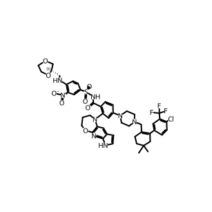 CC1(C)CCC(CN2CCN(c3ccc(C(=O)NS(=O)(=O)c4ccc(NC[C@H]5COCCO5)c([N+](=O)[O-])c4)c(N4CCCOc5nc6[nH]ccc6cc54)c3)CC2)=C(c2ccc(Cl)c(C(F)(F)F)c2)C1